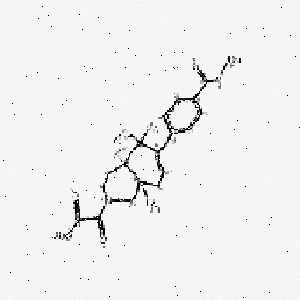 COC(=O)C(=O)N1CC[C@H]2C(C)(C)C(c3ccc(C(=O)OC(C)(C)C)cc3)=CC[C@]2(C)C1